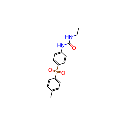 CCNC(=O)Nc1ccc(S(=O)(=O)c2ccc(C)cc2)cc1